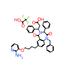 Nc1ncccc1OCCCCc1ccc2c(c1)C(=O)N(C(CC(=O)O)c1ccccc1)C(c1ccccc1)C(=O)N2Cc1ccccc1.O=C(O)C(F)(F)F